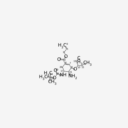 C=CCOC(=O)C1=CC(OC(CC)CC)C(N)C(NC(=O)OC(C)(C)C)C1